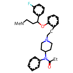 CCC(=O)N(c1ccccc1)C1CCN(CCc2ccccc2OC(CCNC)c2cccc(F)c2)CC1